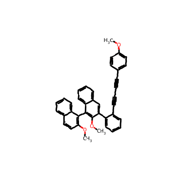 COc1ccc(C#CC#Cc2ccccc2-c2cc3ccccc3c(-c3c(OC)ccc4ccccc34)c2OC)cc1